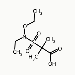 CCON(CC)S(=O)(=O)C(C)(C)C(=O)O